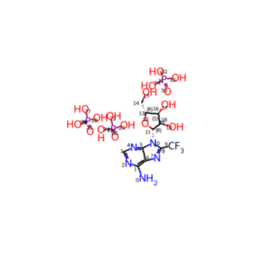 Nc1ncnc2c1nc(C(F)(F)F)n2[C@@H]1O[C@H](CO)[C@@H](O)[C@H]1O.O=P(O)(O)O.O=P(O)(O)O.O=P(O)(O)O